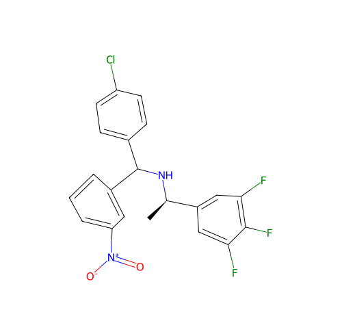 C[C@@H](NC(c1ccc(Cl)cc1)c1cccc([N+](=O)[O-])c1)c1cc(F)c(F)c(F)c1